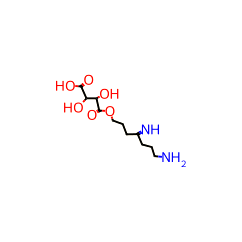 N=C(CCCN)CCCOC(=O)C(O)C(O)C(=O)O